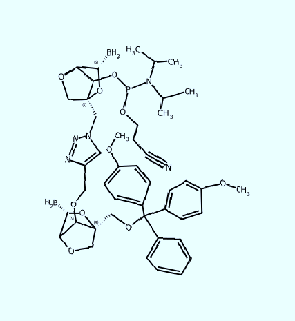 B[C@@H]1O[C@@]2(COC(c3ccccc3)(c3ccc(OC)cc3)c3ccc(OC)cc3)COC1C2OCc1cn(C[C@]23COC(C2OP(OCCC#N)N(C(C)C)C(C)C)[C@H](B)O3)nn1